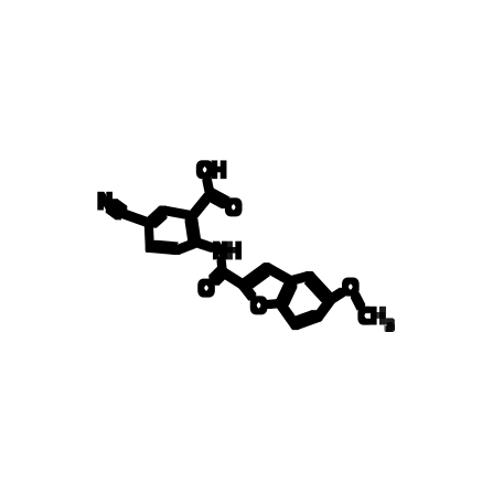 COc1ccc2oc(C(=O)Nc3ccc(C#N)cc3C(=O)O)cc2c1